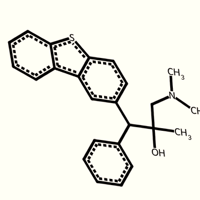 CN(C)CC(C)(O)C(c1ccccc1)c1ccc2sc3ccccc3c2c1